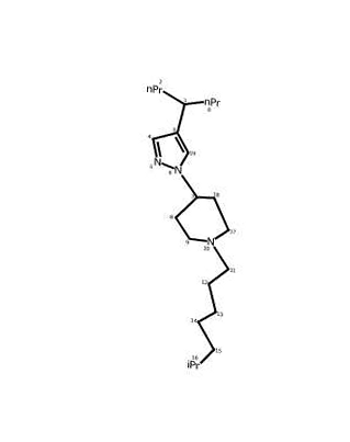 CCCC(CCC)c1cnn(C2CCN(CCCCCC(C)C)CC2)c1